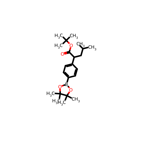 CC(C)CC(C(=O)OC(C)(C)C)c1ccc(B2OC(C)(C)C(C)(C)O2)cc1